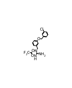 N=C(N)N(Cc1cccc(OCc2cccc(Cl)c2)c1)OC(=O)C(F)(F)F